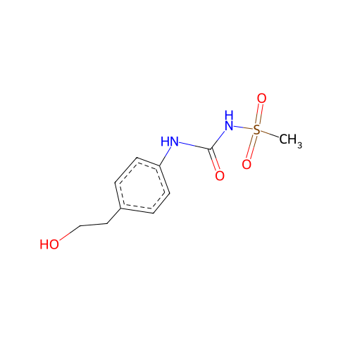 CS(=O)(=O)NC(=O)Nc1ccc(CCO)cc1